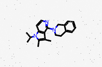 Cc1c(C)n(C(C)C)c2ccnc(N3CCc4ccccc4C3)c12